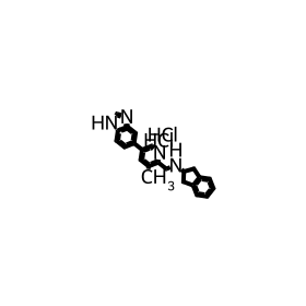 Cc1cc(-c2ccc3[nH]cnc3c2)cnc1CNC1Cc2ccccc2C1.Cl.Cl